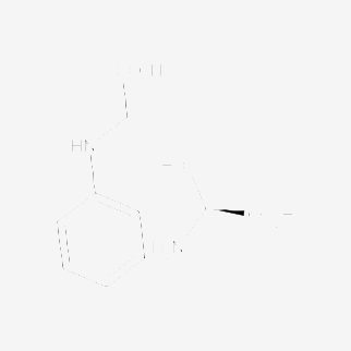 C[C@H](N)C(=O)O.O=C(O)CNc1ccccc1